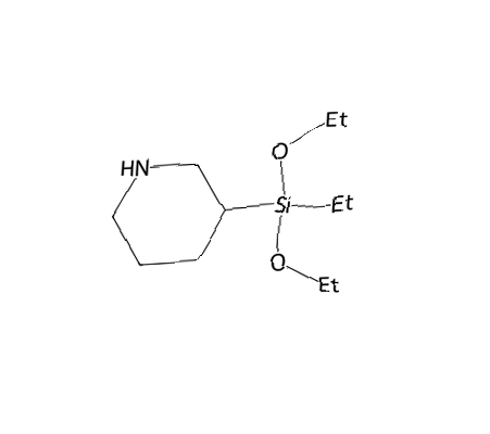 CCO[Si](CC)(OCC)C1CCCNC1